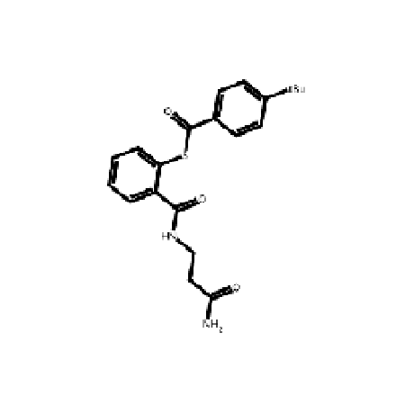 CC(C)(C)c1ccc(C(=O)Sc2ccccc2C(=O)NCCC(N)=O)cc1